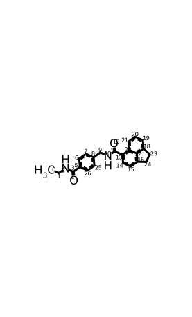 CCNC(=O)c1ccc(CNC(=O)c2ccc3c4c(cccc24)CC3)cc1